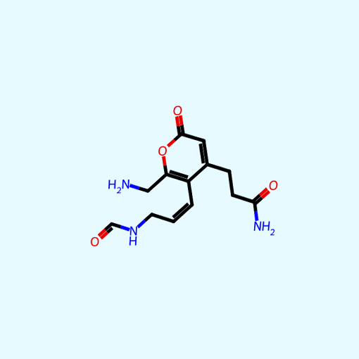 NCc1oc(=O)cc(CCC(N)=O)c1/C=C\CNC=O